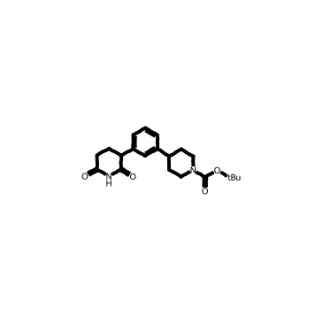 CC(C)(C)OC(=O)N1CCC(c2cccc(C3CCC(=O)NC3=O)c2)CC1